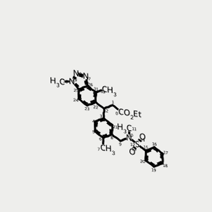 CCOC(=O)CC(c1ccc(C)c(CN(C)S(=O)(=O)c2ccccc2)c1)c1ccc2c(nnn2C)c1C